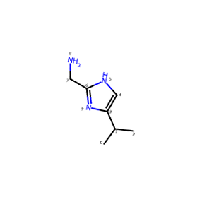 CC(C)c1c[nH]c(CN)n1